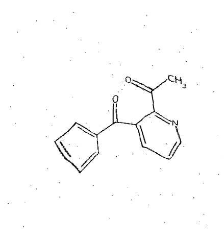 CC(=O)c1ncccc1C(=O)c1ccccc1